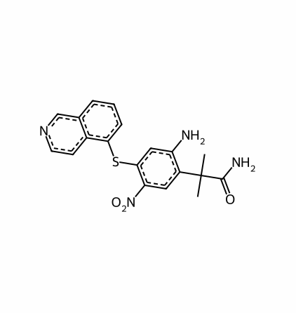 CC(C)(C(N)=O)c1cc([N+](=O)[O-])c(Sc2cccc3cnccc23)cc1N